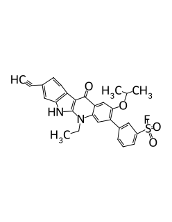 C#Cc1ccc2c(c1)[nH]c1c2c(=O)c2cc(OC(C)C)c(-c3cccc(S(=O)(=O)F)c3)cc2n1CC